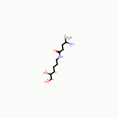 NC(CCC(=O)NCCCCC(O)CO)C(=O)O